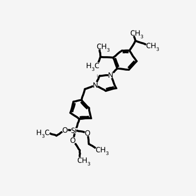 CCO[Si](OCC)(OCC)c1ccc(CN2[C]N(c3ccc(C(C)C)cc3C(C)C)C=C2)cc1